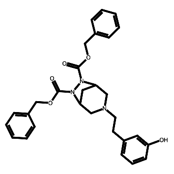 O=C(OCc1ccccc1)N1C2CC(CN(CCc3cccc(O)c3)C2)N1C(=O)OCc1ccccc1